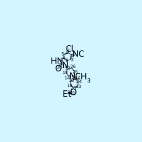 [C-]#[N+]c1cc2c(cc1Cl)[nH]c(=O)n2C1CCN([C@]2(C)CC[C@@H](OCC)CC2)CC1